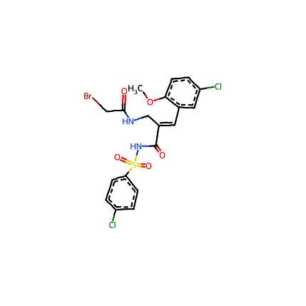 COc1ccc(Cl)cc1/C=C(\CNC(=O)CBr)C(=O)NS(=O)(=O)c1ccc(Cl)cc1